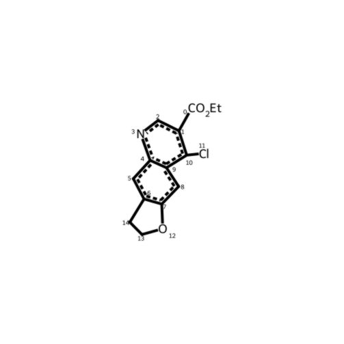 CCOC(=O)c1cnc2cc3c(cc2c1Cl)OCC3